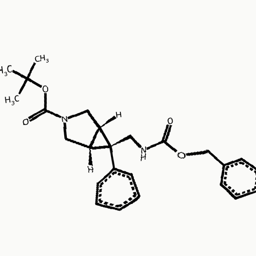 CC(C)(C)OC(=O)N1C[C@@H]2[C@H](C1)[C@]2(CNC(=O)OCc1ccccc1)c1ccccc1